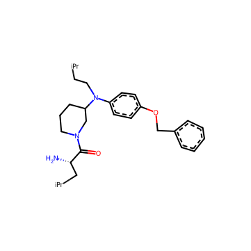 CC(C)CCN(c1ccc(OCc2ccccc2)cc1)C1CCCN(C(=O)[C@@H](N)CC(C)C)C1